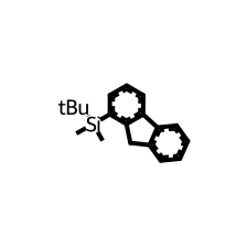 CC(C)(C)[Si](C)(C)c1cccc2c1Cc1ccccc1-2